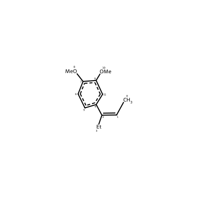 C/C=C(/CC)c1ccc(OC)c(OC)c1